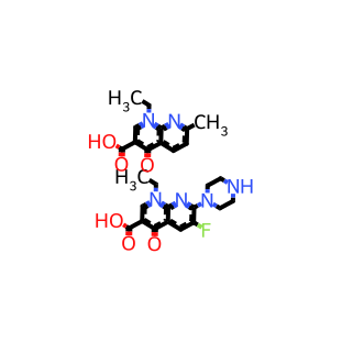 CCn1cc(C(=O)O)c(=O)c2cc(F)c(N3CCNCC3)nc21.CCn1cc(C(=O)O)c(=O)c2ccc(C)nc21